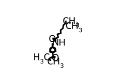 CC(C)CCCCCCC(=O)NCc1ccc(C(=O)C(C)C)cc1